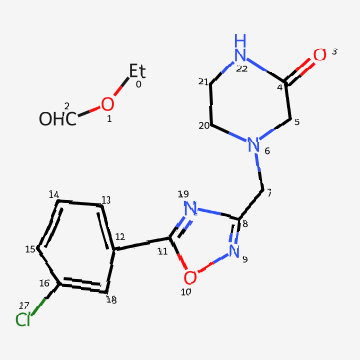 CCOC=O.O=C1CN(Cc2noc(-c3cccc(Cl)c3)n2)CCN1